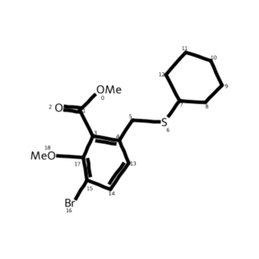 COC(=O)c1c(CSC2CCCCC2)ccc(Br)c1OC